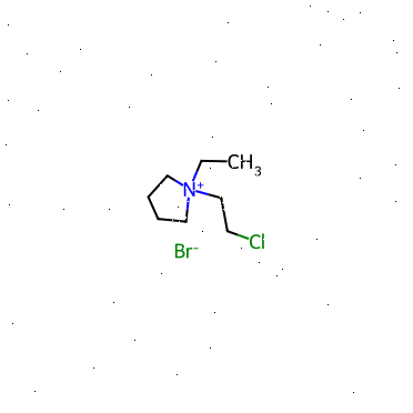 CC[N+]1(CCCl)CCCC1.[Br-]